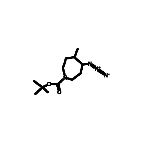 CC1CCN(C(=O)OC(C)(C)C)CCC1N=[N+]=[N-]